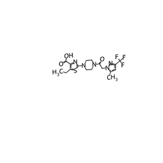 CCc1sc(N2CCN(C(=O)Cn3nc(C(F)(F)F)cc3C)CC2)nc1C(=O)O